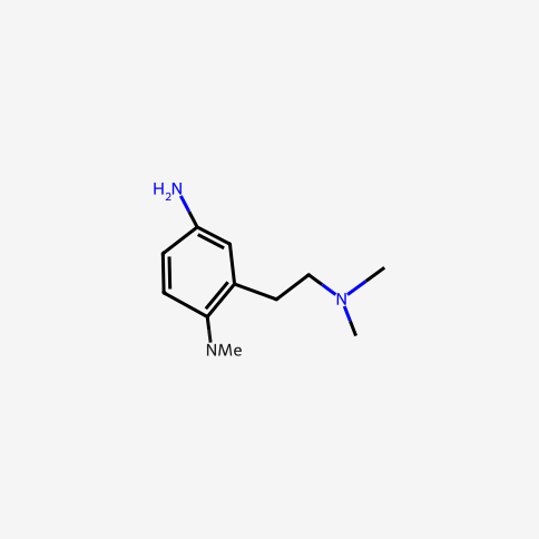 CNc1ccc(N)cc1CCN(C)C